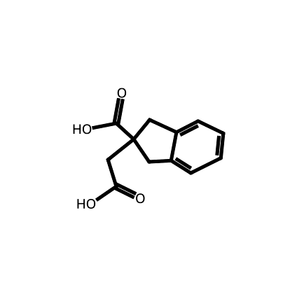 O=C(O)CC1(C(=O)O)Cc2ccccc2C1